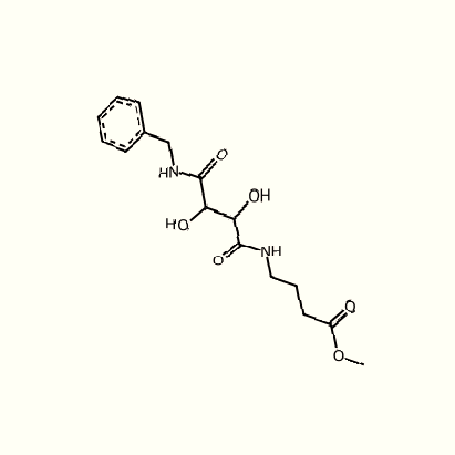 COC(=O)CCCNC(=O)C(O)C(O)C(=O)NCc1ccccc1